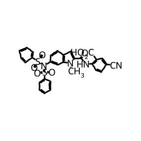 Cn1c(C(=O)Nc2ccc(C#N)cc2C(=O)O)cc2ccc(N(S(=O)(=O)c3ccccc3)S(=O)(=O)c3ccccc3)cc21